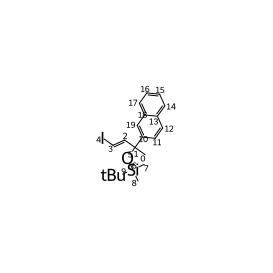 CC(C=CI)(O[Si](C)(C)C(C)(C)C)c1ccc2ccccc2c1